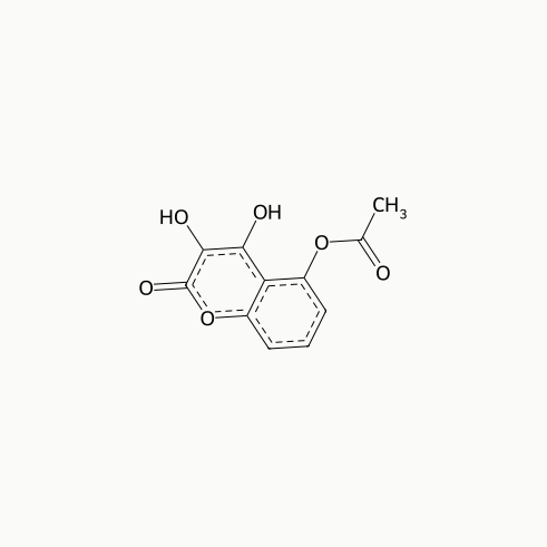 CC(=O)Oc1cccc2oc(=O)c(O)c(O)c12